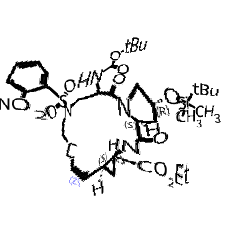 CCOC(=O)[C@@]12C[C@H]1/C=C\CCCN(S(=O)(=O)c1ccccc1[N+](=O)[O-])CC(NC(=O)OC(C)(C)C)C(=O)N1C[C@H](O[Si](C)(C)C(C)(C)C)C[C@H]1C(=O)N2